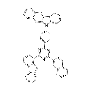 c1ccc2cc(-c3nc(-c4ccc(-n5c6ccccc6c6cc7ccccc7cc65)cc4)nc(-c4cccc5c4sc4ccccc45)n3)ccc2c1